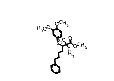 COC(=O)C(C)(C)C(CCCCc1ccccc1)Sc1ccc(OC)c(OC)c1